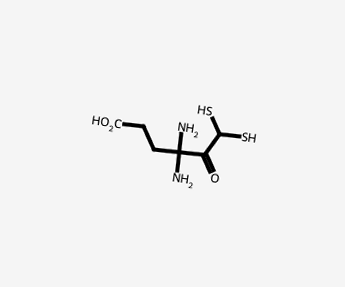 NC(N)(CCC(=O)O)C(=O)C(S)S